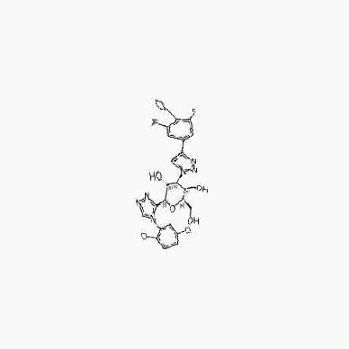 OC[C@H]1O[C@@H](c2nncn2-c2cc(Cl)ccc2Cl)[C@H](O)[C@@H](n2cc(-c3cc(F)c(Cl)c(F)c3)nn2)[C@H]1O